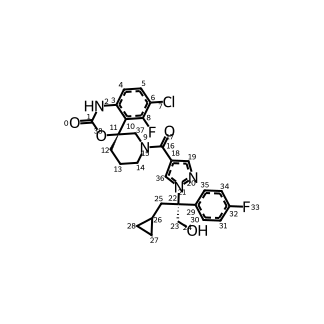 O=C1Nc2ccc(Cl)c(F)c2[C@@]2(CCCN(C(=O)c3cnn([C@](CO)(CC4CC4)c4ccc(F)cc4)c3)C2)O1